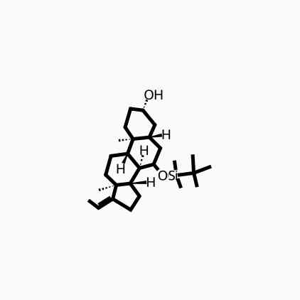 C/C=C1/CC[C@H]2[C@@H]3C(O[Si](C)(C)C(C)(C)C)C[C@H]4C[C@@H](O)CC[C@]4(C)[C@H]3CC[C@]12C